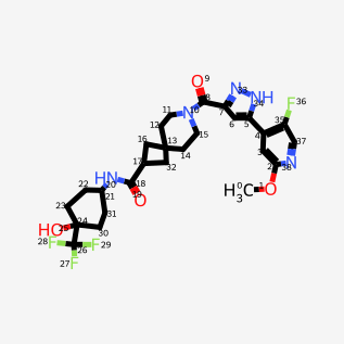 COc1cc(-c2cc(C(=O)N3CCC4(CC3)CC(C(=O)NC3CCC(O)(C(F)(F)F)CC3)C4)n[nH]2)c(F)cn1